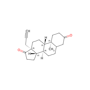 C#CC[C@]12CC[C@H]3[C@@H](CCC4CC(=O)CC[C@@]43C)[C@@H]1CCC2=O